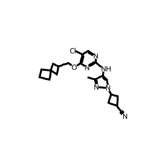 Cc1nn(C2CC(C#N)C2)cc1Nc1ncc(Cl)c(OCC2CC3(CCC3)C2)n1